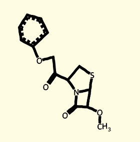 COC1C(=O)N2C(C(=O)COc3ccccc3)CSC12